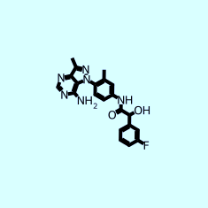 Cc1cc(NC(=O)C(O)c2cccc(F)c2)ccc1-n1nc(C)c2ncnc(N)c21